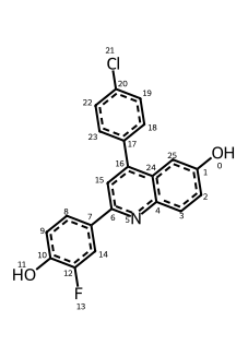 Oc1ccc2nc(-c3ccc(O)c(F)c3)cc(-c3ccc(Cl)cc3)c2c1